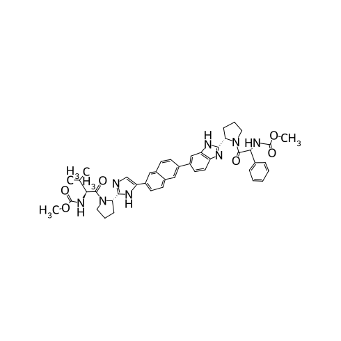 COC(=O)N[C@H](C(=O)N1CCC[C@H]1c1ncc(-c2ccc3cc(-c4ccc5nc([C@@H]6CCCN6C(=O)[C@H](NC(=O)OC)c6ccccc6)[nH]c5c4)ccc3c2)[nH]1)C(C)C